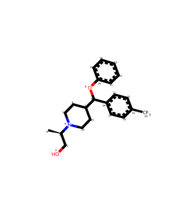 C[C@H](CO)N1CCC(C(Oc2ccccc2)c2ccc(C(F)(F)F)cc2)CC1